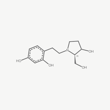 OC[C@@H]1C(O)CCN1CCc1ccc(O)cc1O